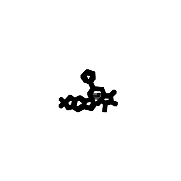 CC1=C(C)[C](C)([Hf][C]2(CC(C)c3ccccc3)C=Cc3cc4c(cc32)CC(C)(C)C4)C(C)=C1C